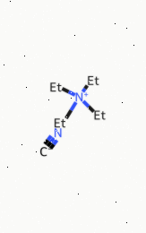 CC[N+](CC)(CC)CC.[C-]#N